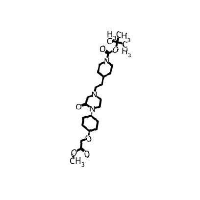 COC(=O)CO[C@H]1CC[C@H](N2CCN(CCC3CCN(C(=O)OC(C)(C)C)CC3)CC2=O)CC1